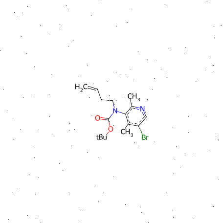 C=CCCN(C(=O)OC(C)(C)C)c1c(C)ncc(Br)c1C